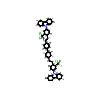 FC(F)(F)c1cc(-n2c3ccccc3c3ccccc32)ccc1C=Cc1ccc(-c2ccc(C=Cc3ccc(-n4c5ccccc5c5ccccc54)cc3C(F)(F)F)cc2)cc1